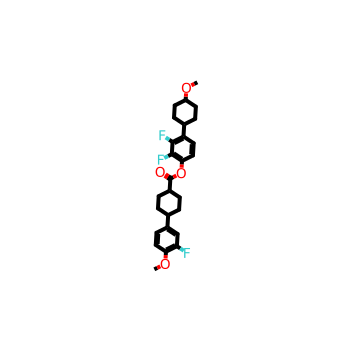 COc1ccc(C2CCC(C(=O)Oc3ccc(C4CCC(OC)CC4)c(F)c3F)CC2)cc1F